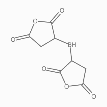 O=C1CC(BC2CC(=O)OC2=O)C(=O)O1